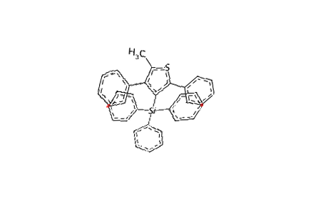 Cc1sc(-c2ccccc2)c([Si](c2ccccc2)(c2ccccc2)c2ccccc2)c1-c1ccccc1